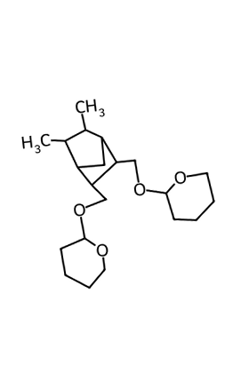 CC1C(C)C2CC1C(COC1CCCCO1)C2COC1CCCCO1